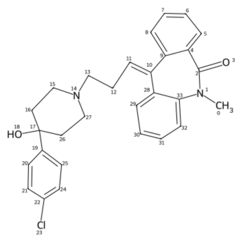 CN1C(=O)c2ccccc2/C(=C/CCN2CCC(O)(c3ccc(Cl)cc3)CC2)c2ccccc21